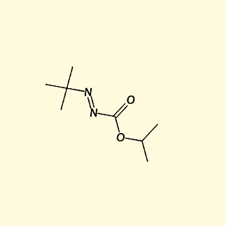 CC(C)OC(=O)N=NC(C)(C)C